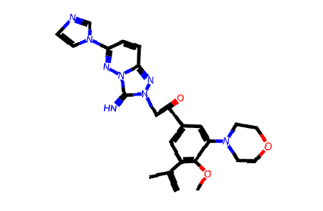 C=C(C)c1cc(C(=O)Cn2nc3ccc(-n4ccnc4)nn3c2=N)cc(N2CCOCC2)c1OC